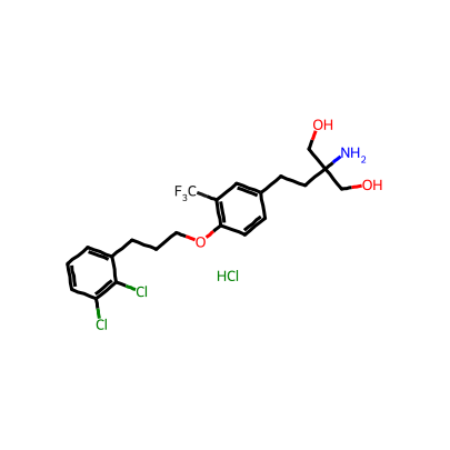 Cl.NC(CO)(CO)CCc1ccc(OCCCc2cccc(Cl)c2Cl)c(C(F)(F)F)c1